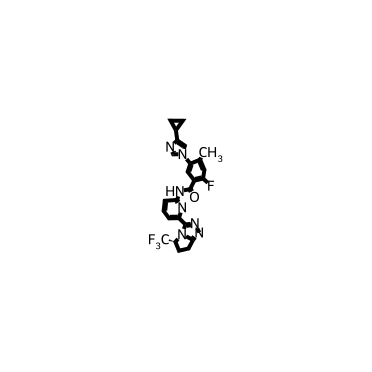 Cc1cc(F)c(C(=O)Nc2cccc(-c3nnc4n3[C@@H](C(F)(F)F)CC4)n2)cc1-n1cnc(C2CC2)c1